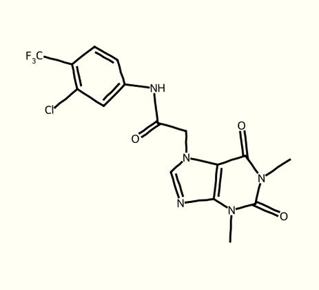 Cn1c(=O)c2c(ncn2CC(=O)Nc2ccc(C(F)(F)F)c(Cl)c2)n(C)c1=O